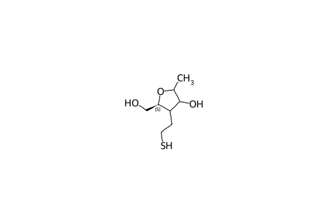 CC1O[C@H](CO)C(CCS)C1O